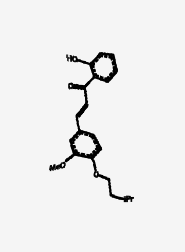 COc1cc(C=CC(=O)c2ccccc2O)ccc1OCCC(C)C